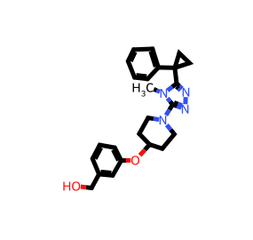 Cn1c(N2CCC(Oc3cccc(CO)c3)CC2)nnc1C1(c2ccccc2)CC1